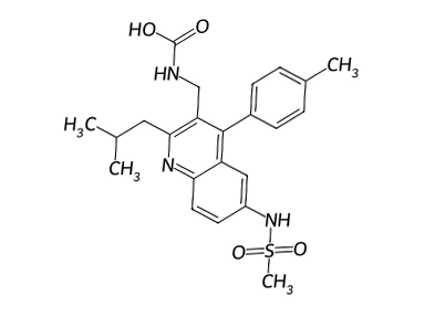 Cc1ccc(-c2c(CNC(=O)O)c(CC(C)C)nc3ccc(NS(C)(=O)=O)cc23)cc1